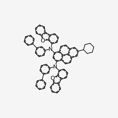 c1ccc(-c2cccc(N(c3cc(N(c4cccc(-c5ccccc5)c4)c4cccc5c4oc4ccccc45)c4ccc5cc(C6CCCCC6)cc6ccc3c4c65)c3cccc4c3oc3ccccc34)c2)cc1